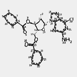 C[C@H]1[C@H](OC(=O)c2ccccc2)[C@@H](COC(=O)c2ccccc2)O[C@H]1n1cnc2c(Cl)nc(N)nc21